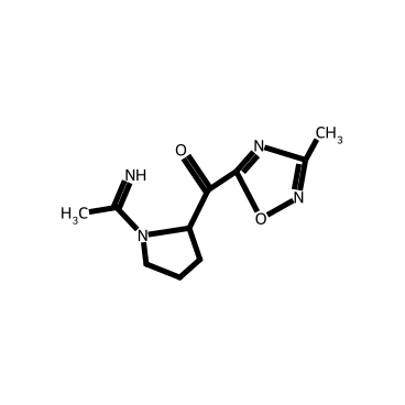 CC(=N)N1CCCC1C(=O)c1nc(C)no1